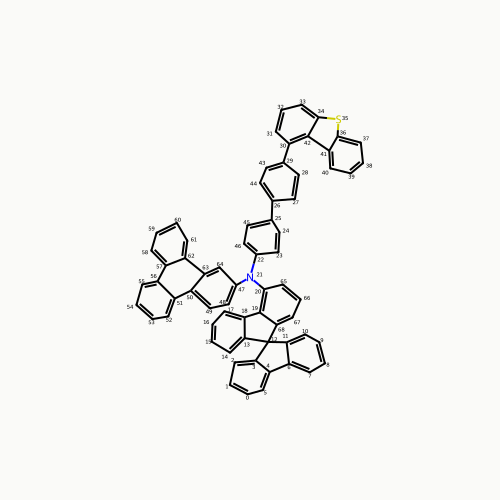 c1ccc2c(c1)-c1ccccc1C21c2ccccc2-c2c(N(c3ccc(-c4ccc(-c5cccc6sc7ccccc7c56)cc4)cc3)c3ccc4c5ccccc5c5ccccc5c4c3)cccc21